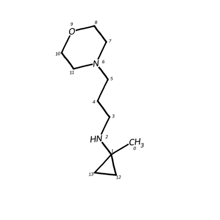 CC1(NCCCN2CCOCC2)CC1